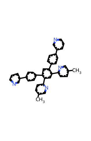 Cc1ccc(-c2cc(-c3ccc(C)cn3)c(-c3ccc(-c4cccnc4)cc3)cc2-c2ccc(-c3cccnc3)cc2)nc1